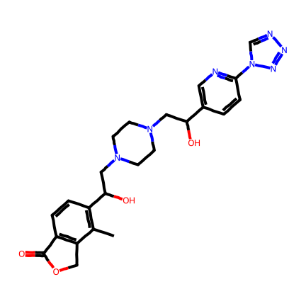 Cc1c(C(O)CN2CCN(CC(O)c3ccc(-n4cnnn4)nc3)CC2)ccc2c1COC2=O